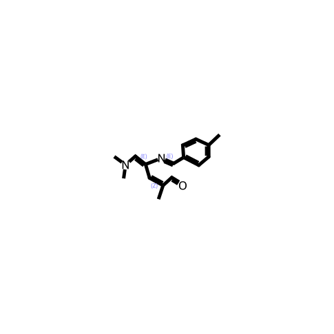 C/C(C=O)=C/C(=C\N(C)C)/N=C/c1ccc(C)cc1